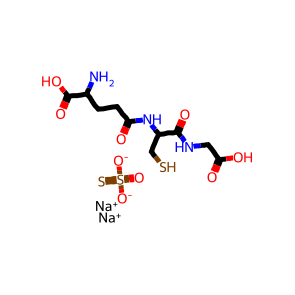 NC(CCC(=O)NC(CS)C(=O)NCC(=O)O)C(=O)O.O=S([O-])([O-])=S.[Na+].[Na+]